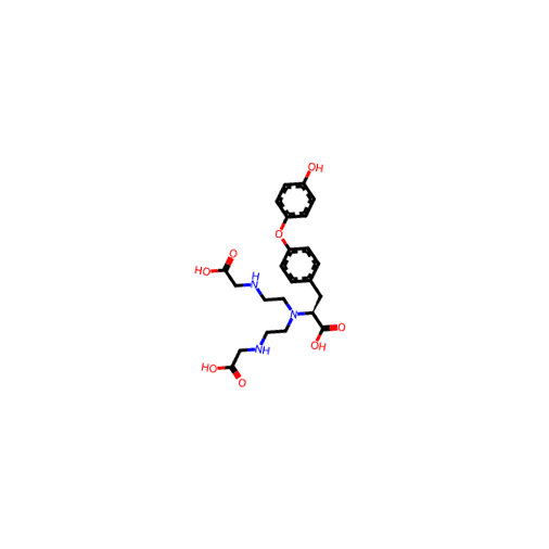 O=C(O)CNCCN(CCNCC(=O)O)[C@@H](Cc1ccc(Oc2ccc(O)cc2)cc1)C(=O)O